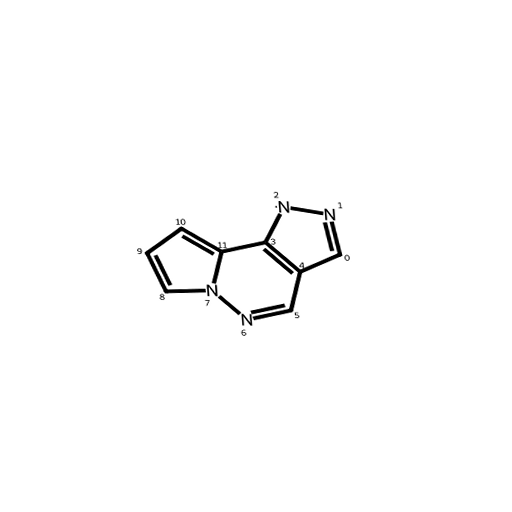 C1=N[N]c2c1cnn1cccc21